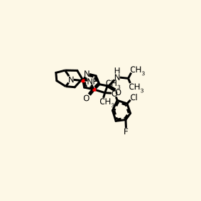 CC(C)NC(=O)c1ccc(N2C3CCC2CC(NC(=O)C(C)(C)Oc2ccc(F)cc2Cl)C3)nc1